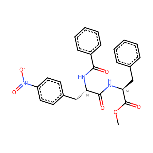 COC(=O)[C@H](Cc1ccccc1)NC(=O)[C@H](Cc1ccc([N+](=O)[O-])cc1)NC(=O)c1ccccc1